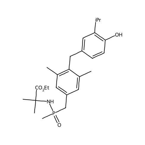 CCOC(=O)C(C)(C)NP(C)(=O)Cc1cc(C)c(Cc2ccc(O)c(C(C)C)c2)c(C)c1